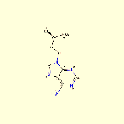 CC[C@H](CCn1cnc2c(N)ncnc21)NC